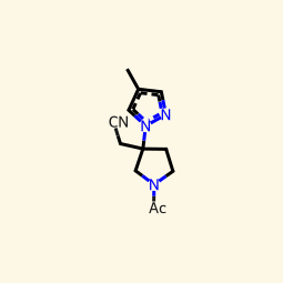 CC(=O)N1CCC(CC#N)(n2cc(C)cn2)C1